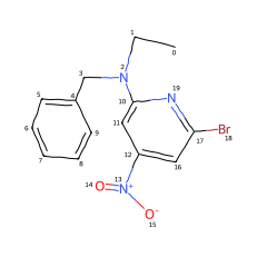 CCN(Cc1ccccc1)c1cc([N+](=O)[O-])cc(Br)n1